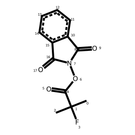 CC(C)(F)C(=O)ON1C(=O)c2ccccc2C1=O